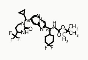 CC(C)(C)OC(=O)N[C@H](c1cn2ncc([C@@H](C3CC3)N3CCC(C(F)(F)F)NC3=O)cc2n1)C1CCC(F)(F)CC1